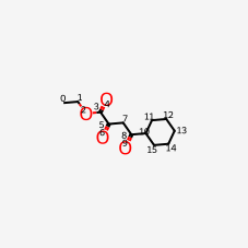 CCOC(=O)C(=O)CC(=O)C1CCCCC1